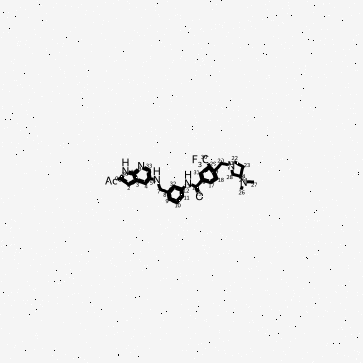 CC(=O)c1cc2cc(NCc3cccc(NC(=O)c4ccc(CN5CCC(N(C)C)C5)c(C(F)(F)F)c4)c3)cnc2[nH]1